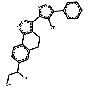 OCC(O)c1ccc2c(c1)CCc1c-2noc1-c1noc(-c2ccccc2)c1C(F)(F)F